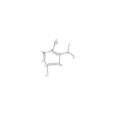 Cc1cnc(Cl)c(C(C)C)c1